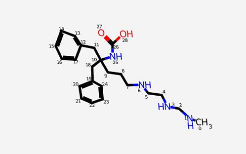 CNCNCCNCCCC(Cc1ccccc1)(Cc1ccccc1)NC(=O)O